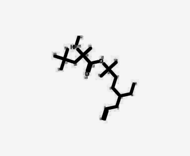 C=CCC(CC)CCC(C)(C)OC(=O)C(C)(CC(C)(C)C)PC